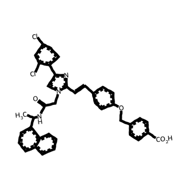 CC(NC(=O)Cn1cc(-c2ccc(Cl)cc2Cl)nc1C=Cc1ccc(OCc2ccc(C(=O)O)cc2)cc1)c1cccc2ccccc12